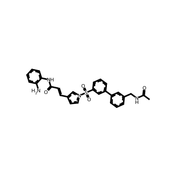 CC(=O)NCc1cccc(-c2cccc(S(=O)(=O)n3ccc(C=CC(=O)Nc4ccccc4N)c3)c2)c1